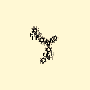 O=C(Nc1ccncc1)Nc1ccc(-c2cc(N3CC4CCC(C3)O4)nc(-c3ccc(NC(=O)Nc4ccncc4)cc3)n2)cc1